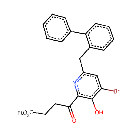 CCOC(=O)CCC(=O)c1nc(Cc2ccccc2-c2ccccc2)cc(Br)c1O